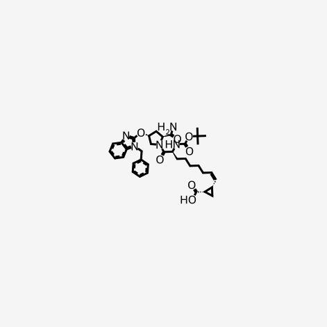 CC(C)(C)OC(=O)N[C@@H](CCCCC/C=C\[C@@H]1C[C@@H]1C(=O)O)C(=O)N1C[C@H](Oc2nc3ccccc3n2Cc2ccccc2)C[C@H]1C(N)=O